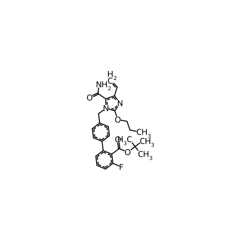 C=Cc1nc(OCCC)n(Cc2ccc(-c3cccc(F)c3C(=O)OC(C)(C)C)cc2)c1C(N)=O